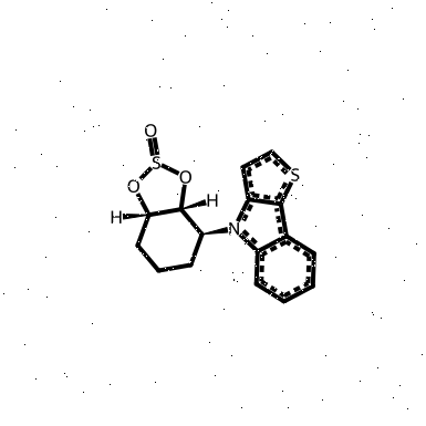 O=S1O[C@H]2[C@H](CCC[C@@H]2n2c3ccccc3c3sccc32)O1